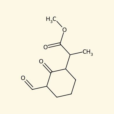 COC(=O)C(C)C1CCCC(C=O)C1=O